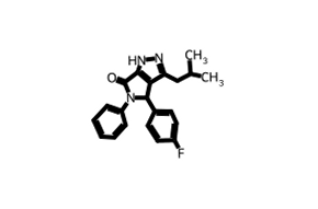 CC(C)Cc1n[nH]c2c1C(c1ccc(F)cc1)N(c1ccccc1)C2=O